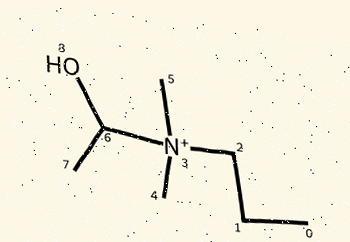 CCC[N+](C)(C)C(C)O